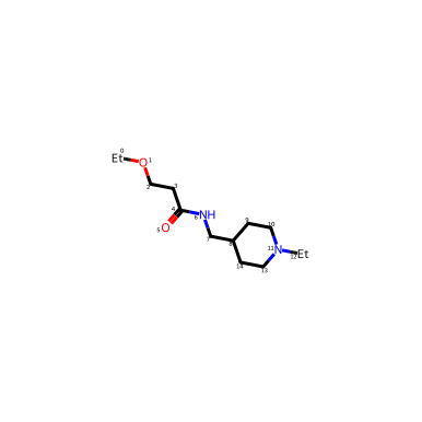 CCOCCC(=O)NCC1CCN(CC)CC1